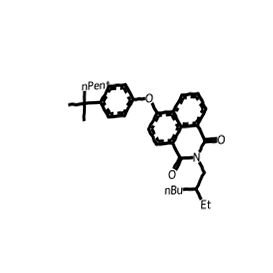 CCCCCC(C)(C)c1ccc(Oc2ccc3c4c(cccc24)C(=O)N(CC(CC)CCCC)C3=O)cc1